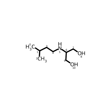 CC(C)CCNC(CO)CO